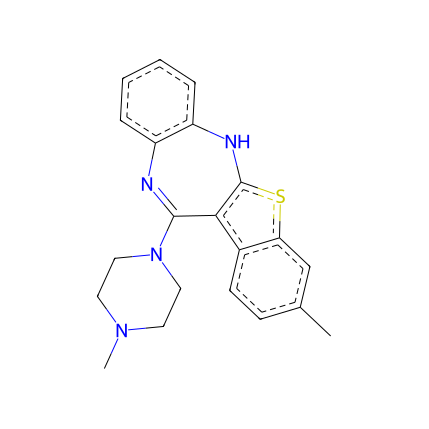 Cc1ccc2c3c(sc2c1)Nc1ccccc1N=C3N1CCN(C)CC1